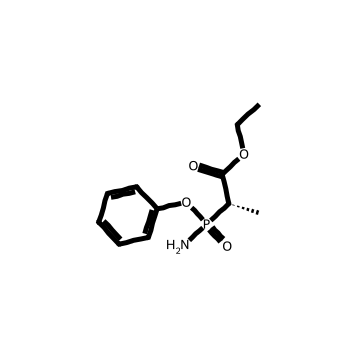 CCOC(=O)[C@H](C)P(N)(=O)Oc1ccccc1